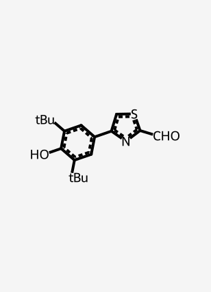 CC(C)(C)c1cc(-c2csc(C=O)n2)cc(C(C)(C)C)c1O